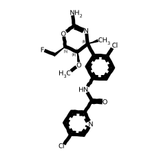 CO[C@H]1[C@@H](CF)OC(N)=N[C@]1(C)c1cc(NC(=O)c2ccc(Cl)cn2)ccc1Cl